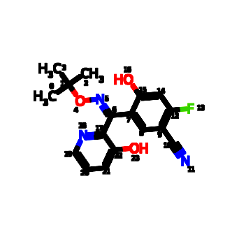 CC(C)(C)O/N=C(/c1cc(C#N)c(F)cc1O)c1ncccc1O